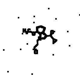 COc1cccc2c(C(=O)C3CC3)cn(CCCCl)c12